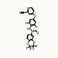 N#Cc1cc(Oc2cc(F)c(NN(C=O)c3ccc4c(c3)OC(F)(F)C(F)(F)O4)c(F)c2)ccn1